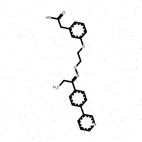 CC/C(=N\OCCOc1cccc(CC(=O)O)c1)c1ccc(-c2cccnc2)cc1